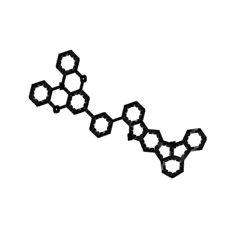 c1cc(-c2cc3c4c(c2)Oc2ccccc2B4c2ccccc2O3)cc(-c2cccc3c2sc2cc4c5cccc6c7ccccc7n(c4cc23)c65)c1